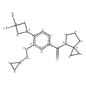 O=C(c1ccc(N2CC(F)(F)C2)c(OCC2CC2)n1)N1CCCC12CC2